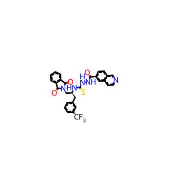 O=C(NNC(=S)N[C@@H](Cc1cccc(C(F)(F)F)c1)CN1C(=O)c2ccccc2C1=O)c1ccc2cnccc2c1